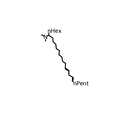 CCCCCC=CCC=CCCCCCCCCCC(CCCCCC)N(C)C